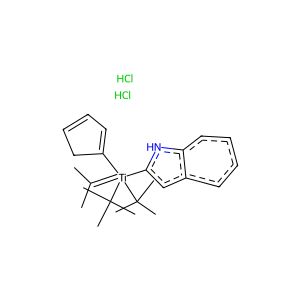 C[C](C)=[Ti]([C]1=CC=CC1)([c]1cc2ccccc2[nH]1)([C](C)(C)C)[C](C)(C)C.Cl.Cl